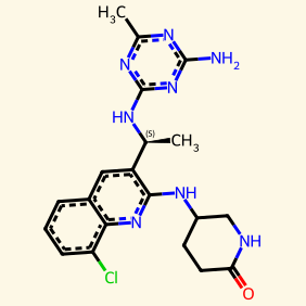 Cc1nc(N)nc(N[C@@H](C)c2cc3cccc(Cl)c3nc2NC2CCC(=O)NC2)n1